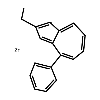 CCc1[c]c2ccccc(-c3ccccc3)c-2c1.[Zr]